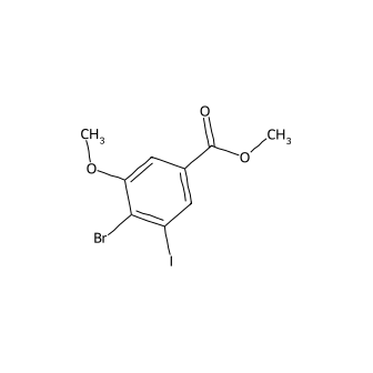 COC(=O)c1cc(I)c(Br)c(OC)c1